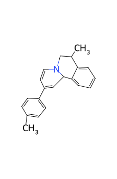 Cc1ccc(C2=CC3c4ccccc4C(C)CN3C=C2)cc1